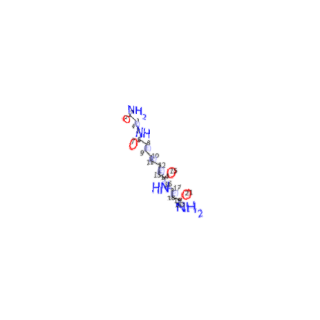 NC(=O)/C=C/NC(=O)/C=C/C=C/C=C/C(=O)N/C=C/C(N)=O